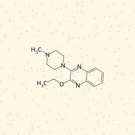 CCOc1nc2ccccc2nc1N1CCN(C)CC1